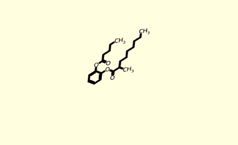 CCCCCCCC(C)C(=O)Oc1ccccc1OC(=O)CCCC